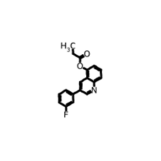 CCC(=O)Oc1cccc2ncc(-c3cccc(F)c3)cc12